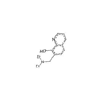 CCN(CC)Cc1ccc2cccnc2c1O